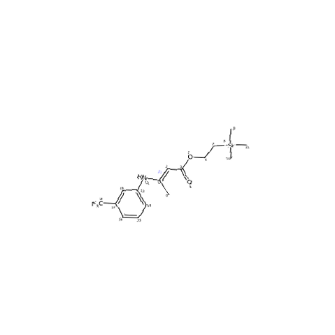 C/C(=C\C(=O)OCC[Si](C)(C)C)Nc1cccc(C(F)(F)F)c1